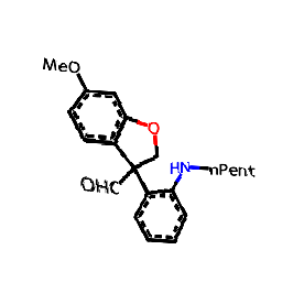 CCCCCNc1ccccc1C1(C=O)COc2cc(OC)ccc21